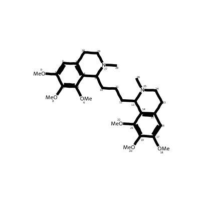 COc1cc2c(c(OC)c1OC)C(CCCC1c3c(cc(OC)c(OC)c3OC)CCN1C)N(C)CC2